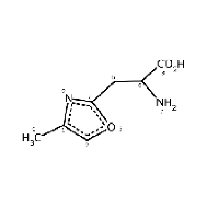 Cc1coc(CC(N)C(=O)O)n1